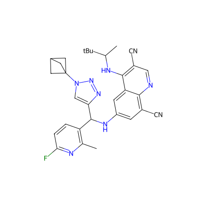 Cc1nc(F)ccc1C(Nc1cc(C#N)c2ncc(C#N)c(NC(C)C(C)(C)C)c2c1)c1cn(C23CC(C2)C3)nn1